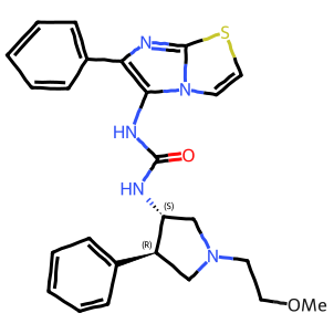 COCCN1C[C@@H](NC(=O)Nc2c(-c3ccccc3)nc3sccn23)[C@H](c2ccccc2)C1